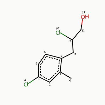 Cc1cc(Cl)ccc1CC(Cl)CO